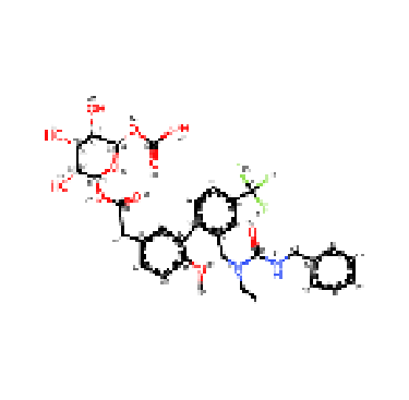 CCN(Cc1cc(C(F)(F)F)ccc1-c1cc(CC(=O)O[C@@H]2O[C@@H](OC(=O)O)[C@@H](O)[C@@H](O)[C@H]2O)ccc1OC)C(=O)NCc1ccccc1